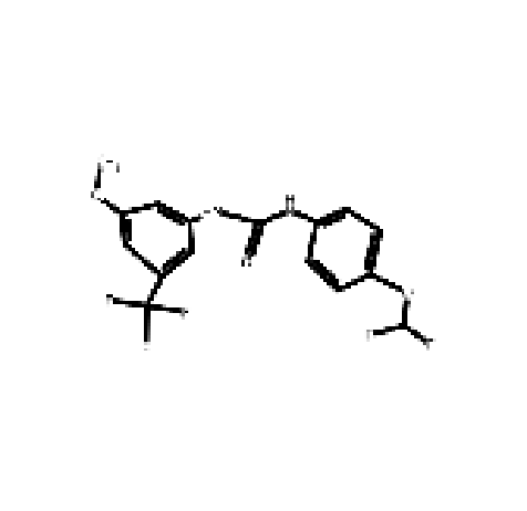 COc1cc(NC(=O)Nc2ccc(OC(F)F)cc2)cc(C(F)(F)F)c1